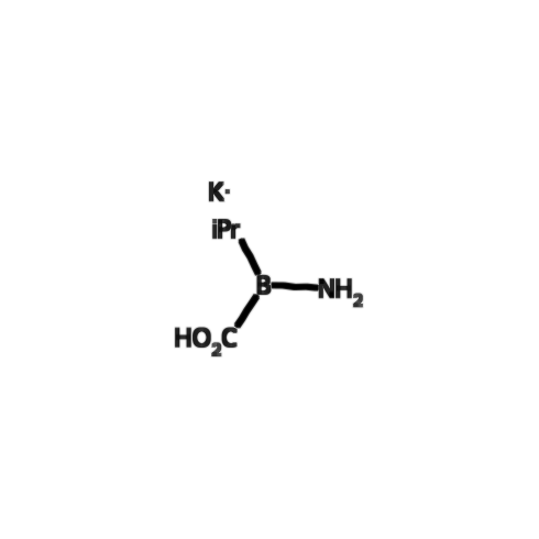 CC(C)B(N)C(=O)O.[K]